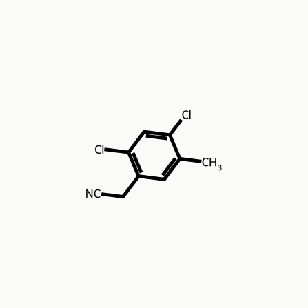 Cc1cc(CC#N)c(Cl)cc1Cl